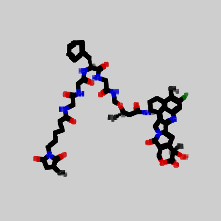 CC[C@@]1(O)C(=O)OCc2c1cc1n(c2=O)Cc2c-1nc1cc(F)c(C)c3c1c2[C@@H](NC(=O)C[C@H](C)OCNC(=O)CNC(=O)[C@H](Cc1ccccc1)NC(=O)CNC(=O)CNC(=O)CCCCCN1C(=O)CC(C)C1=O)CC3